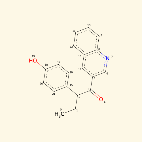 CCC(C(=O)c1cnc2ccccc2c1)c1ccc(O)cc1